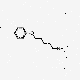 NCCCCCOc1ccccc1